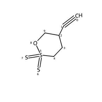 C#CC1CCS(=S)(=S)OC1